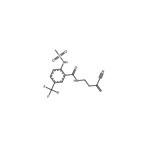 C=C(C#N)CCNC(=O)c1cc(C(F)(F)F)ccc1NS(C)(=O)=O